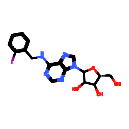 OC[C@H]1OC(n2cnc3c(NCc4ccccc4I)ncnc32)[C@H](O)[C@@H]1O